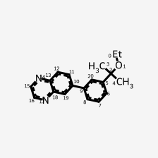 CCOC(C)(C)c1cccc(-c2ccc3nccnc3c2)c1